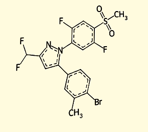 Cc1cc(-c2cc(C(F)F)nn2-c2cc(F)c(S(C)(=O)=O)cc2F)ccc1Br